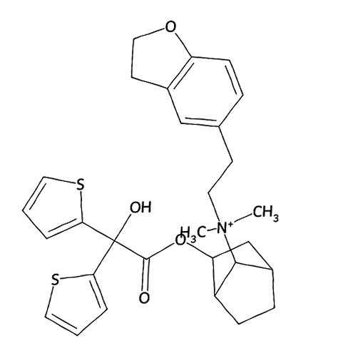 C[N+](C)(CCc1ccc2c(c1)CCO2)C1C2CCC1C(OC(=O)C(O)(c1cccs1)c1cccs1)C2